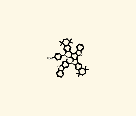 CC(C)(C)c1ccc(N2B3c4cc5oc6ccccc6c5cc4-n4c5cc6c(cc5c5c7oc8ccccc8c7c(c3c54)-c3cc4c(cc32)C(C)(C)CCC4(C)C)C(C)(C)CCC6(C)C)cc1